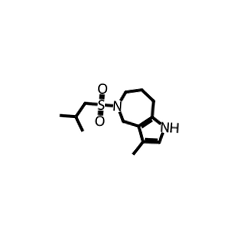 Cc1c[nH]c2c1CN(S(=O)(=O)CC(C)C)CCC2